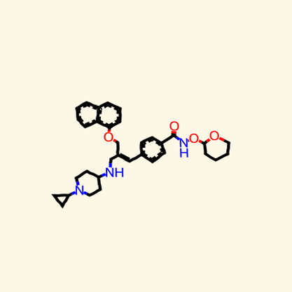 O=C(NOC1CCCCO1)c1ccc(/C=C(/CNC2CCN(C3CC3)CC2)COc2cccc3ccccc23)cc1